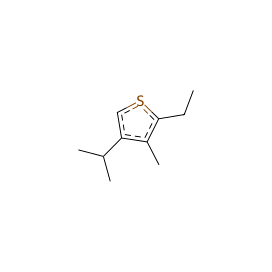 CCc1scc(C(C)C)c1C